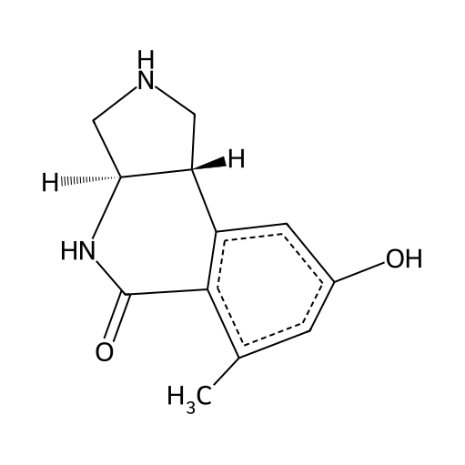 Cc1cc(O)cc2c1C(=O)N[C@H]1CNC[C@H]21